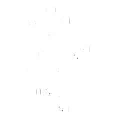 CN(c1cccc(C(=N)N)c1)[C@@H](COC(C)(C)C)C(=O)O.Cl